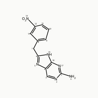 Nc1ncc2nc(Cc3cccc([N+](=O)[O-])c3)[nH]c2n1